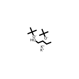 CC(C)(C)[O-].CC(C)(C)[O-].CCCCO.[K+].[K+]